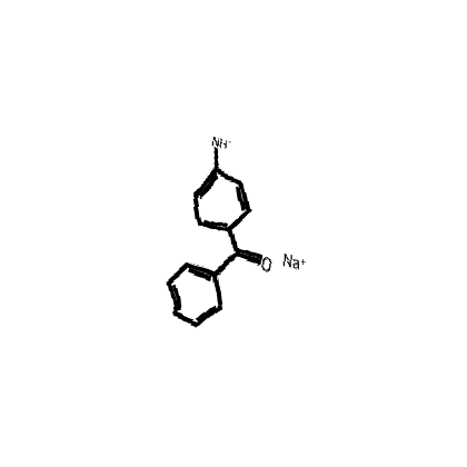 [NH-]c1ccc(C(=O)c2ccccc2)cc1.[Na+]